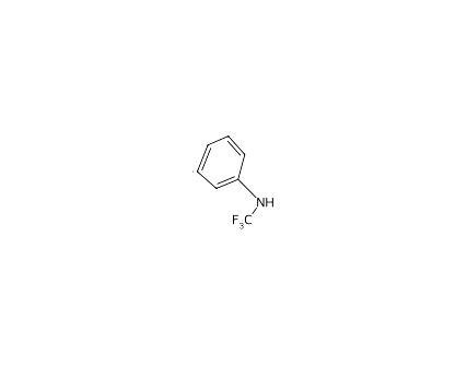 FC(F)(F)Nc1c[c]ccc1